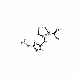 O=C(O)[C@@H]1CCCN1Cc1ccc(CO)o1